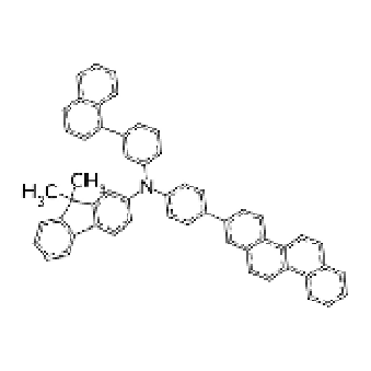 CC1(C)c2ccccc2-c2ccc(N(c3ccc(-c4ccc5c(ccc6c7ccccc7ccc56)c4)cc3)c3cccc(-c4cccc5ccccc45)c3)cc21